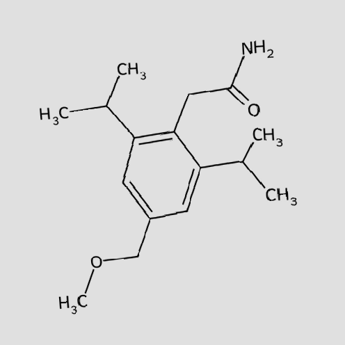 COCc1cc(C(C)C)c(CC(N)=O)c(C(C)C)c1